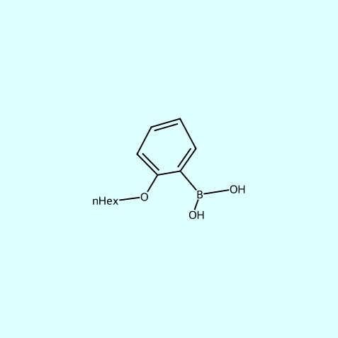 CCCCCCOc1ccccc1B(O)O